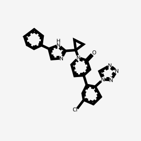 O=c1cc(-c2cc(Cl)ccc2-n2cnnn2)ccn1C1(c2ncc(-c3cc[c]cc3)[nH]2)CC1